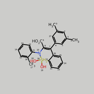 Cc1cc(C)cc(C2=C(C(=O)O)N(c3ccccc3C(F)(F)F)[SH2](O)(O)c3ccccc32)c1